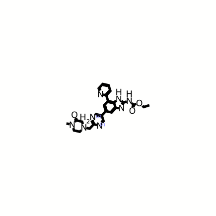 C=C(CN1CCN(C)C(=O)C1)/N=C\C(=C/N)c1cc(-c2ccccn2)c2[nH]c(NC(=O)OCC)nc2c1